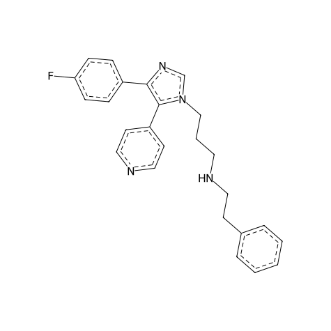 Fc1ccc(-c2ncn(CCCNCCc3ccccc3)c2-c2ccncc2)cc1